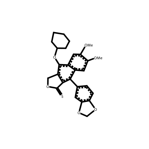 COc1cc2c(OC3CCCCC3)c3c(c(-c4ccc5c(c4)OCO5)c2cc1OC)C(=S)OC3